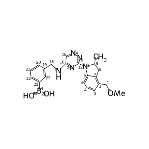 COCc1cccc2c1CC(C)N2c1nncc(NCc2cccc(B(O)O)c2)n1